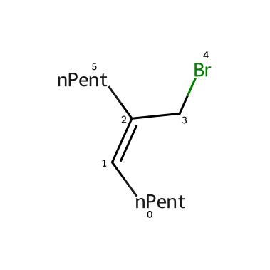 CCCCC/C=C(\CBr)CCCCC